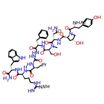 CNC(=N)NCCC[C@H](NC(=O)[C@H](CC(C)C)NC(=O)NNC(=O)[C@H](Cc1ccccc1)NC(=O)[C@H](CO)N(C)C(=O)[C@H](CC(N)=O)NC(=O)[C@@H]1C[C@@H](O)CN1C(=O)[C@@H](Cc1ccc(O)cc1)NC(C)=O)C(=O)N[C@@H](Cc1c[nH]c2ccccc12)C(N)=O